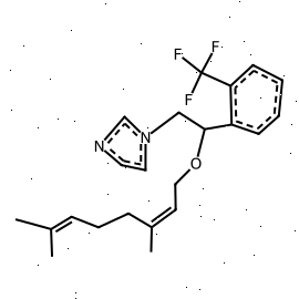 CC(C)=CCCC(C)=CCOC(Cn1ccnc1)c1ccccc1C(F)(F)F